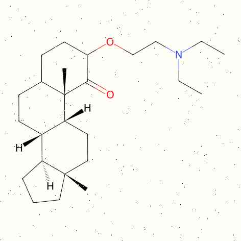 CCN(CC)CCOC1CCC2CC[C@@H]3[C@@H](CC[C@]4(C)CCC[C@@H]34)[C@@]2(C)C1=O